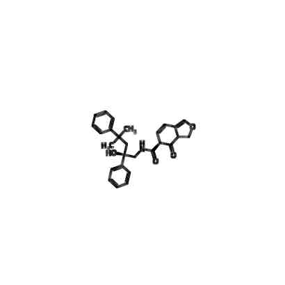 CC(C)(C[C@](O)(CNC(=O)[C@H]1C=CC2=COCC2C1=O)c1ccccc1)c1ccccc1